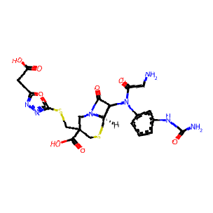 NCC(=O)N(c1cccc(NC(N)=O)c1)C1C(=O)N2CC(CSc3nnc(CC(=O)O)o3)(C(=O)O)CS[C@H]12